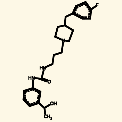 CC(O)c1cccc(NC(=O)NCCCN2CCC(Cc3ccc(F)cc3)CC2)c1